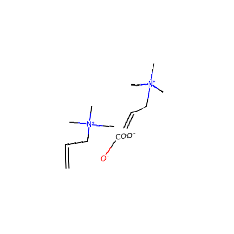 C=CC[N+](C)(C)C.C=CC[N+](C)(C)C.O=C([O-])[O-]